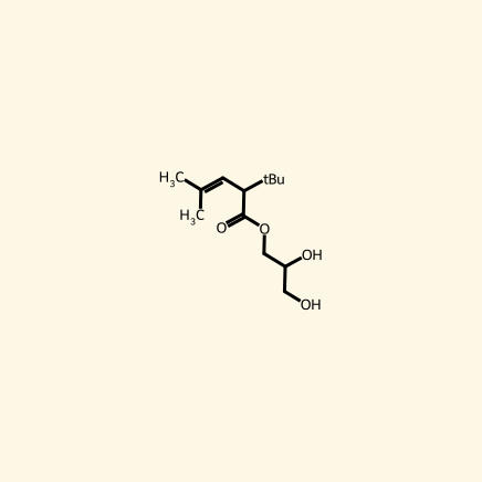 CC(C)=CC(C(=O)OCC(O)CO)C(C)(C)C